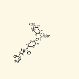 CCCCCCC(COc1ccc(C(=O)NCCC(=O)OC(C)(C)C)cc1)c1ccc(Cl)nc1